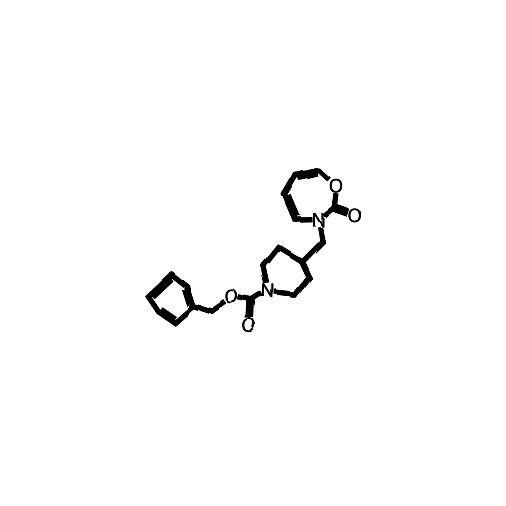 O=C1OC=CC=CN1CC1CCN(C(=O)OCc2ccccc2)CC1